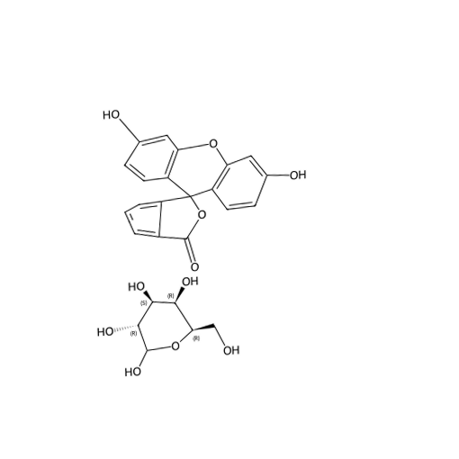 O=C1OC2(c3ccc(O)cc3Oc3cc(O)ccc32)c2ccccc21.OC[C@H]1OC(O)[C@H](O)[C@@H](O)[C@H]1O